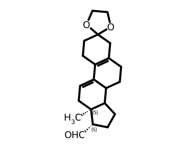 C[C@]12CC=C3C4=C(CCC3C1CC[C@@H]2C=O)CC1(CC4)OCCO1